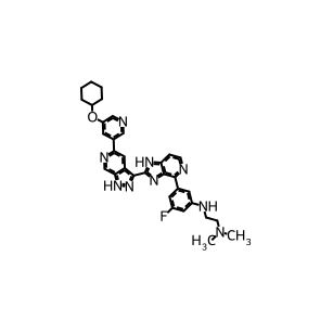 CN(C)CCNc1cc(F)cc(-c2nccc3[nH]c(-c4n[nH]c5cnc(-c6cncc(OC7CCCCC7)c6)cc45)nc23)c1